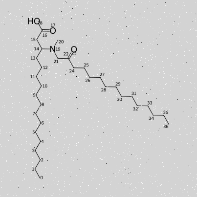 CCCCCCCCCCCCCCC(CC(=O)O)N(C)CC(=O)CCCCCCCCCCCCC